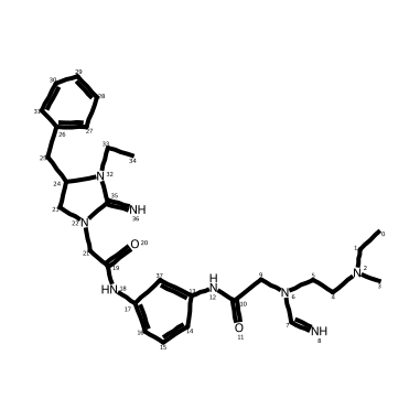 CCN(C)CCN(C=N)CC(=O)Nc1cccc(NC(=O)CN2CC(Cc3ccccc3)N(CC)C2=N)c1